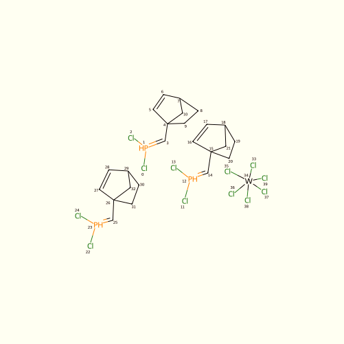 Cl[PH](Cl)=CC12C=CC(CC1)C2.Cl[PH](Cl)=CC12C=CC(CC1)C2.Cl[PH](Cl)=CC12C=CC(CC1)C2.[Cl][W]([Cl])([Cl])([Cl])([Cl])[Cl]